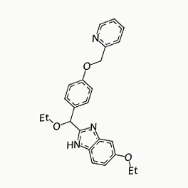 CCOc1ccc2[nH]c(C(OCC)c3ccc(OCc4ccccn4)cc3)nc2c1